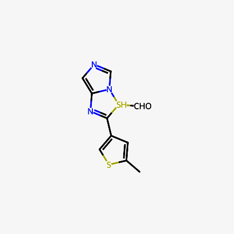 Cc1cc(C2=Nc3cncn3[SH]2C=O)cs1